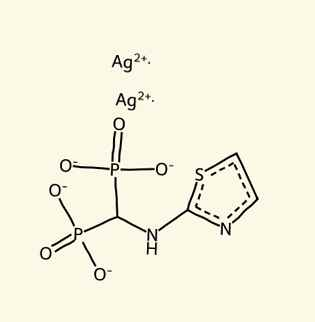 O=P([O-])([O-])C(Nc1nccs1)P(=O)([O-])[O-].[Ag+2].[Ag+2]